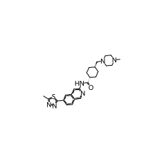 Cc1nnc(-c2ccc3cnc(NC(=O)[C@H]4CC[C@H](CN5CCN(C)CC5)CC4)cc3c2)s1